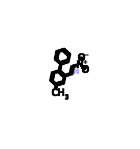 Cc1ccc(-c2ccccc2)c(/C=C/[N+](=O)[O-])c1